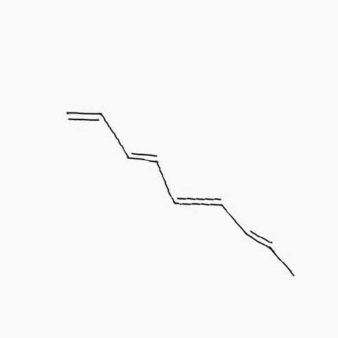 C=CC=CC=CC=CC